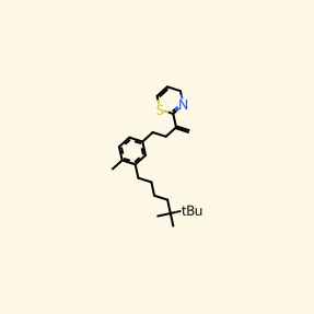 C=C(CCc1ccc(C)c(CCCCC(C)(C)C(C)(C)C)c1)C1=NCC=CS1